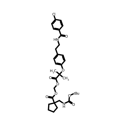 CC(C)(C)OC(=O)NCC1(C(=O)OCOC(=O)C(C)(C)Oc2ccc(CCNC(=O)c3ccc(Cl)cc3)cc2)CCCC1